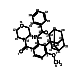 COc1ccc(C(=O)N2CCOCC2)c(NC(=O)c2ccccc2)c1C12CC3CC(CC(C3)C1)C2